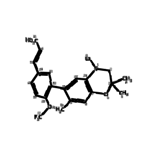 CCN1CC(C)(C)Oc2cc(C)c(-c3cc(C=CC(=O)O)ccc3OC(F)(F)F)cc21